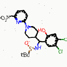 CC(C)(C)[S+]([O-])NC(c1cc(Cl)c(Cl)cc1O)C1CCN(c2cccc([N+](=O)[O-])n2)CC1